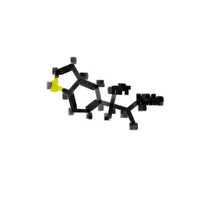 CCCC(C)(c1ccc2sccc2c1)C(C)NC